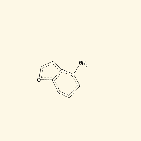 Bc1cccc2occc12